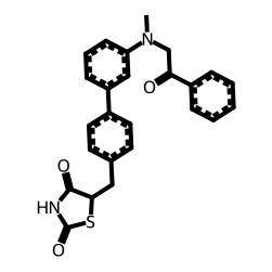 CN(CC(=O)c1ccccc1)c1cccc(-c2ccc(CC3SC(=O)NC3=O)cc2)c1